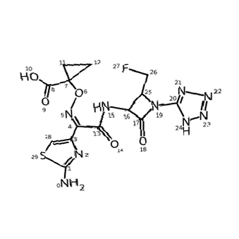 Nc1nc(C(=NOC2(C(=O)O)CC2)C(=O)NC2C(=O)N(c3nnn[nH]3)C2CF)cs1